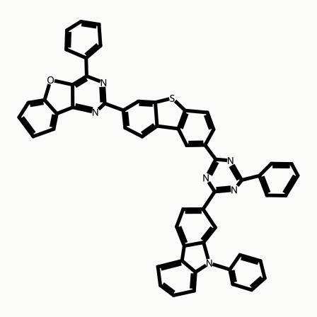 c1ccc(-c2nc(-c3ccc4sc5cc(-c6nc(-c7ccccc7)c7oc8ccccc8c7n6)ccc5c4c3)nc(-c3ccc4c5ccccc5n(-c5ccccc5)c4c3)n2)cc1